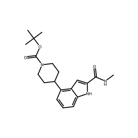 CNC(=O)c1cc2c(C3CCN(C(=O)OC(C)(C)C)CC3)cccc2[nH]1